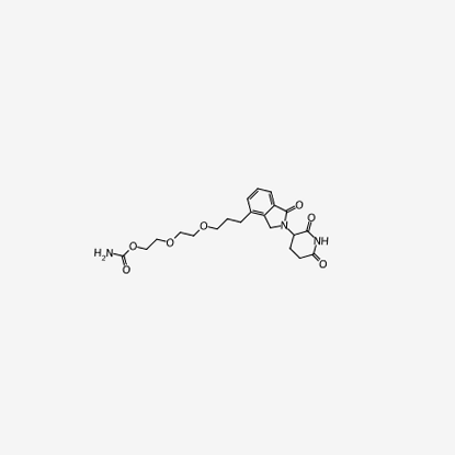 NC(=O)OCCOCCOCCCc1cccc2c1CN(C1CCC(=O)NC1=O)C2=O